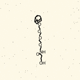 O=C(CCCO)NCCOCCOCCOCCOC12CC3CC4CC(C1)C2(C4)C3